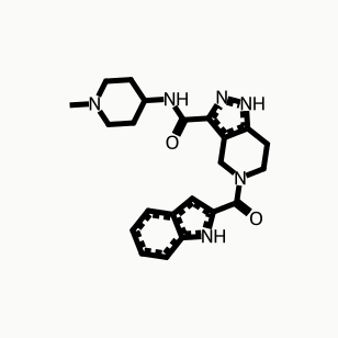 CN1CCC(NC(=O)c2n[nH]c3c2CN(C(=O)c2cc4ccccc4[nH]2)CC3)CC1